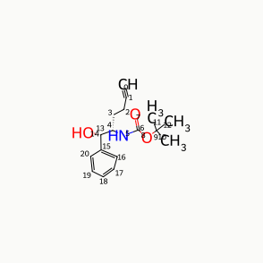 C#CCC[C@H](NC(=O)OC(C)(C)C)[C@@H](O)c1ccccc1